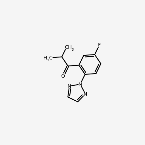 CC(C)C(=O)c1cc(F)ccc1-n1nccn1